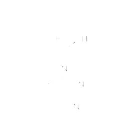 O=C(c1cnccn1)N1CC[C@@](O)(c2ccccc2)[C@@H]2CCCCC21